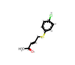 CC(=O)C=CCSc1ccc(Cl)cc1